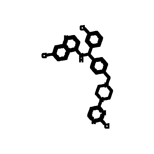 Clc1cccc(C(Nc2ccnc3cc(Cl)ccc23)c2ccc(CN3CCN(c4ccnc(Cl)n4)CC3)cc2)c1